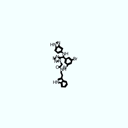 O=C(Cn1nnnc1C(Nc1ccc2[nH]cnc2c1)c1cc(Br)cc(Br)c1)NCCc1c[nH]c2ccccc12